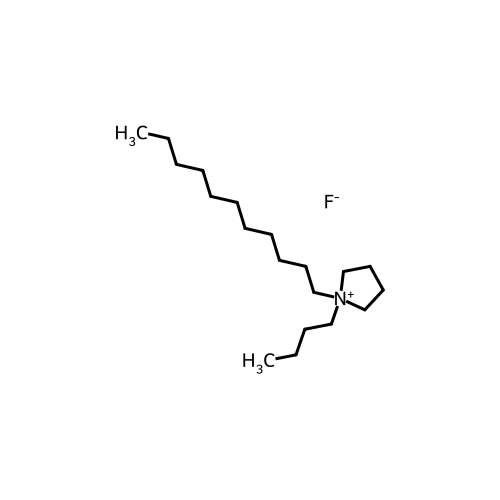 CCCCCCCCCCC[N+]1(CCCC)CCCC1.[F-]